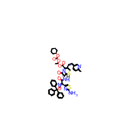 Cc1ccc(/C=C\C2=C(C(=O)OC(C)OC(=O)OC3CCCCC3)N3C(=O)[C@@H](NC(=O)/C(=N/OC(c4ccccc4)(c4ccccc4)c4ccccc4)c4csc(N)n4)[C@H]3SC2)cn1